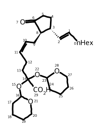 CCCCCC/C=C/[C@H]1CCC(=O)[C@@H]1C/C=C\CCC(OC1CCCCO1)(OC1CCCCO1)C(=O)O